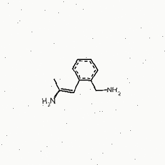 C/C(N)=C\c1ccccc1CN